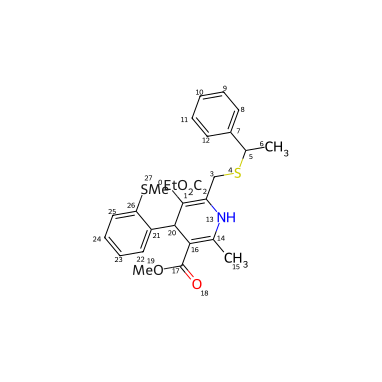 CCOC(=O)C1=C(CSC(C)c2ccccc2)NC(C)=C(C(=O)OC)C1c1ccccc1SC